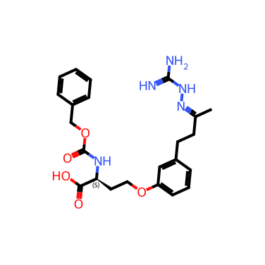 CC(CCc1cccc(OCC[C@H](NC(=O)OCc2ccccc2)C(=O)O)c1)=NNC(=N)N